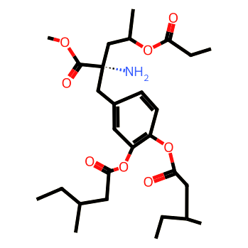 CCC(=O)OC(C)C[C@@](N)(Cc1ccc(OC(=O)CC(C)CC)c(OC(=O)CC(C)CC)c1)C(=O)OC